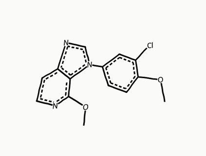 COc1ccc(-n2cnc3ccnc(OC)c32)cc1Cl